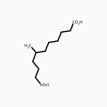 CCCCCCCCCCCC(C)CCCCCC(=O)O